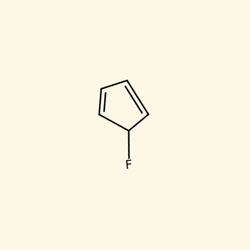 FC1C=CC=C1